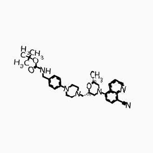 C[C@@H]1CN(c2ccc(C#N)c3ncccc23)C[C@H](CN2CCN(c3ccc(CNC(=O)OC(C)(C)C)cc3)CC2)O1